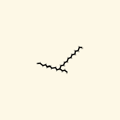 [CH2]CCCC=CCCCC(CCC)CCCCCCCCCCC[CH2]